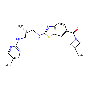 CNC1CN(C(=O)c2ccc3nc(NC[C@@H](C)CNc4ncc(SC)cn4)sc3c2)C1